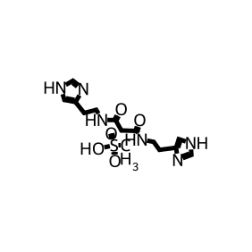 CS(=O)(=O)O.O=C(CC(=O)NCCc1c[nH]cn1)NCCc1c[nH]cn1